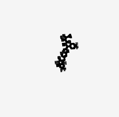 O=C(NC(c1cn2ncc(CN3C(=O)N[C@@H]4CC(F)(F)C[C@@H]43)cc2n1)C1CCC(F)(F)CC1)c1nonc1C1CC1